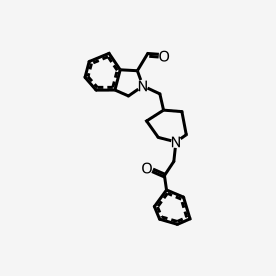 O=CC1c2ccccc2CN1CC1CCN(CC(=O)c2ccccc2)CC1